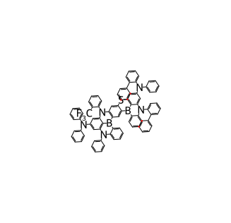 FC(F)(F)c1ccccc1N1c2cc3c(cc2B2c4ccccc4N(c4ccccc4)c4cc(N(c5ccccc5)c5ccccc5)cc1c42)B1c2ccccc2N(c2ccccc2-c2ccccc2)c2cc(N(c4ccccc4)c4ccccc4-c4ccccc4)cc(c21)S3